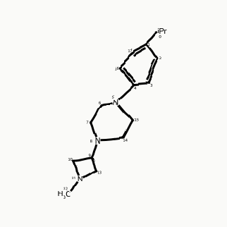 CC(C)c1ccc(N2CCN(C3CN(C)C3)CC2)cc1